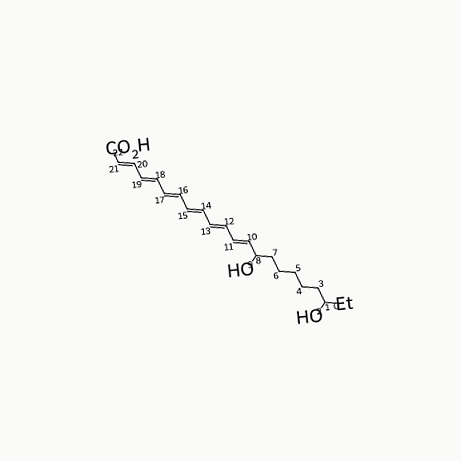 CCC(O)CCCCCC(O)C=CC=CC=CC=CC=CC=CC(=O)O